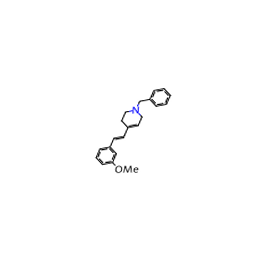 COc1cccc(C=CC2=CCN(Cc3ccccc3)CC2)c1